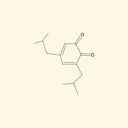 CC(C)CC1=CC(=O)C(=O)C(CC(C)C)=C1